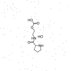 Cl.O=C(O)OCCNC(=O)C1CCCN1